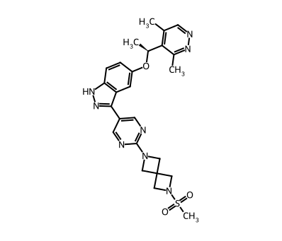 Cc1cnnc(C)c1[C@H](C)Oc1ccc2[nH]nc(-c3cnc(N4CC5(C4)CN(S(C)(=O)=O)C5)nc3)c2c1